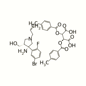 C=CCN1C[C@@H](CO)[C@](N)(c2cc(Br)ccc2F)C1.Cc1ccc(C(=O)OC(C(=O)O)[C@H](OC(=O)c2ccc(C)cc2)C(=O)O)cc1